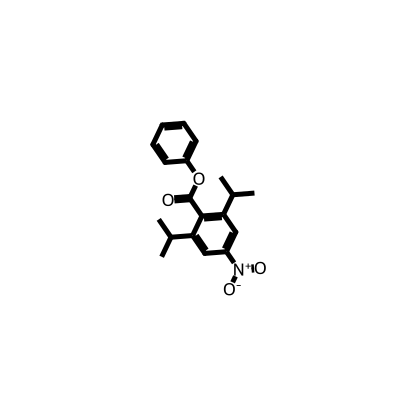 CC(C)c1cc([N+](=O)[O-])cc(C(C)C)c1C(=O)Oc1ccccc1